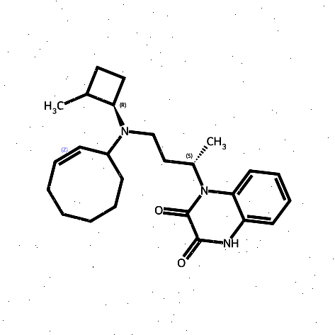 CC1CC[C@H]1N(CC[C@H](C)n1c(=O)c(=O)[nH]c2ccccc21)C1/C=C\CCCCC1